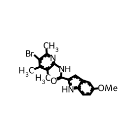 COc1ccc2[nH]c(C(=O)Nc3nc(C)c(Br)c(C)c3C)cc2c1